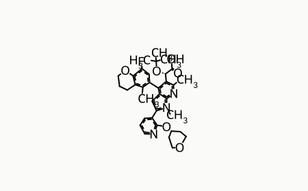 Cc1nc2c(cc(-c3cccnc3OC3CCOCC3)n2C)c(-c2cc(F)c3c(c2C)CCCO3)c1[C@H](OC(C)(C)C)C(=O)O